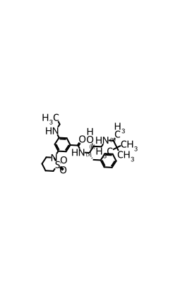 CCNc1cc(C(=O)N[C@@H](Cc2ccccc2)[C@H](O)CN[C@@H](C)C(C)(C)C)cc(N2CCCCS2(=O)=O)c1